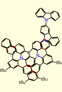 CC(C)(C)c1cc(-c2cc3c4c(c2)N(c2c(-c5ccccc5)cc(C(C)(C)C)cc2-c2ccccc2)c2cc(-n5c6ccccc6c6cc(-n7c8ccccc8c8ccccc87)ccc65)ccc2B4c2ccc(-c4ccccc4)cc2N3c2c(-c3ccccc3)cc(C(C)(C)C)cc2-c2ccccc2)cc(C(C)(C)C)c1